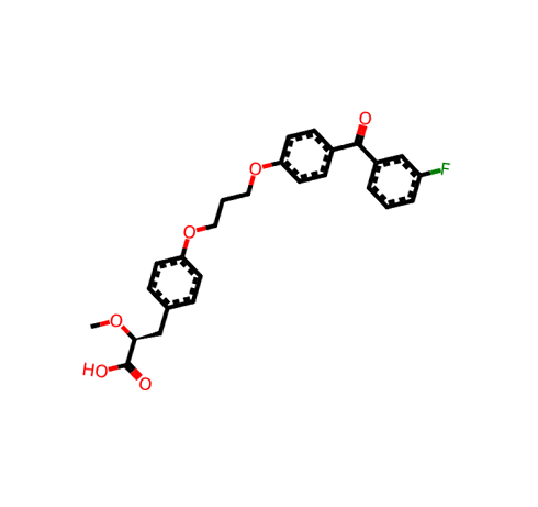 CO[C@@H](Cc1ccc(OCCCOc2ccc(C(=O)c3cccc(F)c3)cc2)cc1)C(=O)O